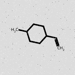 [CH2]C1CCC(C=C)CC1